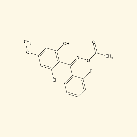 COc1cc(O)c(C(=NOC(C)=O)c2ccccc2F)c(Cl)c1